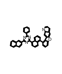 c1ccc(-c2nc(-c3ccc4ccccc4c3)nc(-c3cccc4c(-c5cccc6oc7cc8cccnc8cc7c56)cccc34)n2)cc1